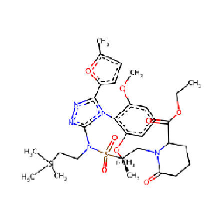 CCOC(=O)C1CCCC(=O)N1C[C@@H](C)S(=O)(=O)N(CC[Si](C)(C)C)c1nnc(-c2ccc(C)o2)n1-c1c(OC)cccc1OC